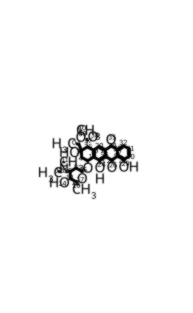 CC[C@@]1(O)C[C@H](O[C@H]2CC(N(C)C)[C@H](O)[C@H](C)O2)c2c(cc3c(c2O)C(=O)c2c(O)cccc2C3=O)[C@H]1C(=O)OC